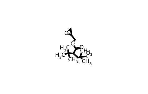 CC(C)(C)CC(C(=O)OCC1CO1)C(C)(C)C